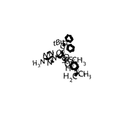 C=C(C)[C@@H]1CC[C@]2(C)SP(=S)(O[C@H]3C[C@H](n4cnc5c(N)ncnc54)O[C@@H]3CO[Si](c3ccccc3)(c3ccccc3)C(C)(C)C)O[C@H]2C1